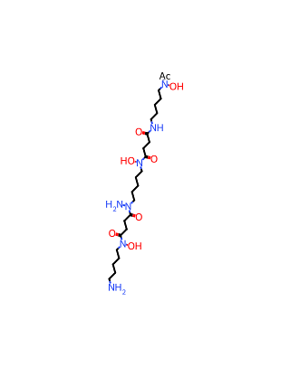 CC(=O)N(O)CCCCCNC(=O)CCC(=O)N(O)CCCCCN(N)C(=O)CCC(=O)N(O)CCCCCN